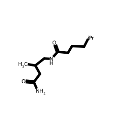 CC(C)CCCC(=O)NCC(C)CC(N)=O